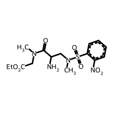 CCOC(=O)CN(C)C(=O)C(N)CN(C)S(=O)(=O)c1ccccc1[N+](=O)[O-]